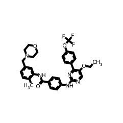 CCOc1cnc(Nc2ccc(C(=O)Nc3cc(CN4CCOCC4)ccc3C)cc2)nc1-c1ccc(OC(F)(F)F)cc1